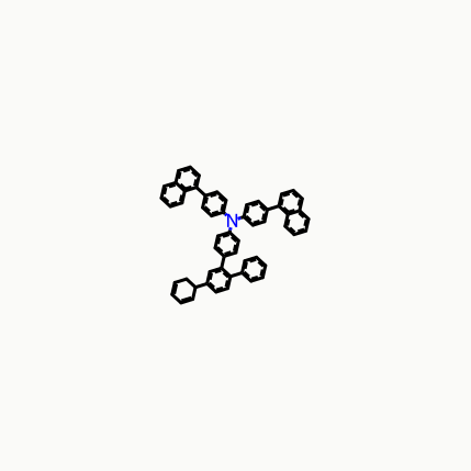 C1=CCC(c2ccc(-c3ccccc3)c(-c3ccc(N(c4ccc(-c5cccc6ccccc56)cc4)c4ccc(-c5cccc6ccccc56)cc4)cc3)c2)C=C1